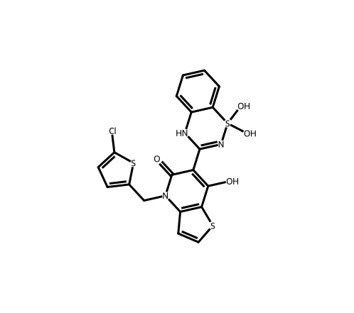 O=c1c(C2=NS(O)(O)c3ccccc3N2)c(O)c2sccc2n1Cc1ccc(Cl)s1